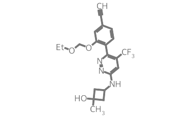 C#Cc1ccc(-c2nnc(NC3CC(C)(O)C3)cc2C(F)(F)F)c(OCOCC)c1